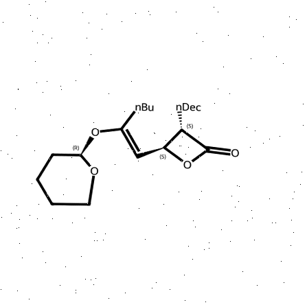 CCCCCCCCCC[C@@H]1C(=O)O[C@H]1C=C(CCCC)O[C@@H]1CCCCO1